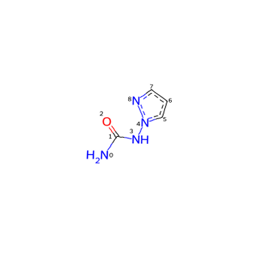 NC(=O)Nn1cccn1